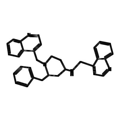 c1ccc(CC2CC(NCc3ccnc4ccccc34)CCN2Cc2ccnc3ccccc23)cc1